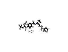 COc1cc(C(=O)/N=c2\sccn2COC(=O)[C@@H]2CCCN2)ccc1NC(=O)CC(C)(C)C.Cl